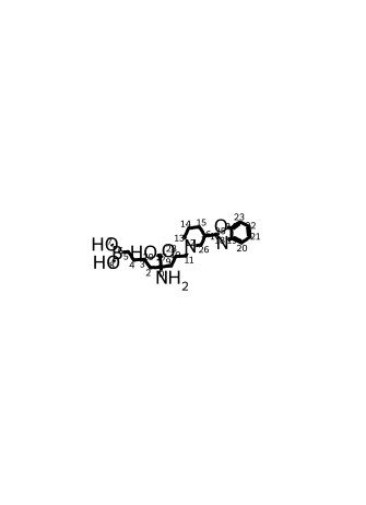 NC(CCCCB(O)O)(CCCN1CCCC(c2nc3ccccc3o2)C1)C(=O)O